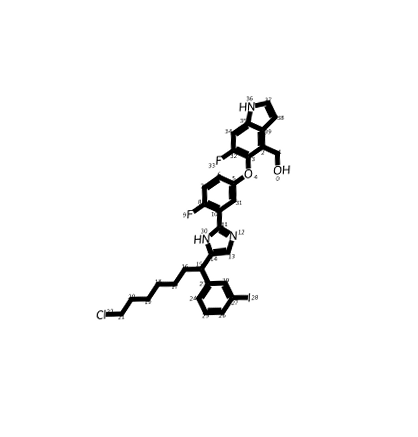 OCc1c(Oc2ccc(F)c(-c3ncc(C(CCCCCCCl)c4cccc(I)c4)[nH]3)c2)c(F)cc2[nH]ccc12